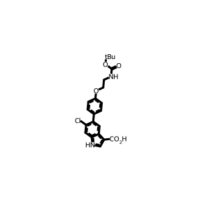 CC(C)(C)OC(=O)NCCOc1ccc(-c2cc3c(C(=O)O)c[nH]c3cc2Cl)cc1